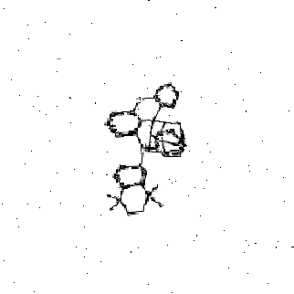 CC1(C)CCC(C)(C)c2cc(N(c3ccccc3)c3cccc4c3C3(c5ccccc5S4)C4CC5CC6CC3C64C5)ccc21